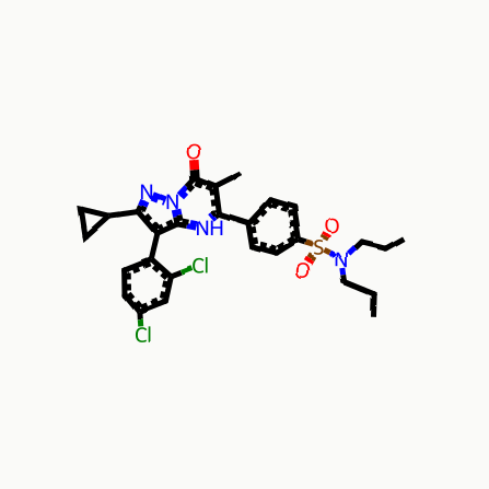 CCCN(CCC)S(=O)(=O)c1ccc(-c2[nH]c3c(-c4ccc(Cl)cc4Cl)c(C4CC4)nn3c(=O)c2C)cc1